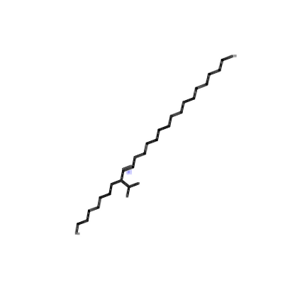 [CH2]CCCCCCCCCCCCCCC/C=C/C(CCCCCCC[CH2])C(C)C